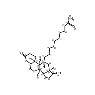 C[C@]12CCC(=O)CC1CC[C@@H]1[C@H]2C(CCCCCCCCCC(N)=O)C[C@]2(C)C(O)CC[C@@H]12